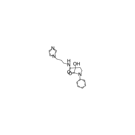 O=C(NCCCn1ccnc1)C1(O)CCN(c2ccccc2)C1=O